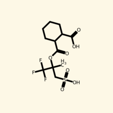 CC(CS(=O)(=O)O)(OC(=O)C1CCCCC1C(=O)O)C(F)(F)F